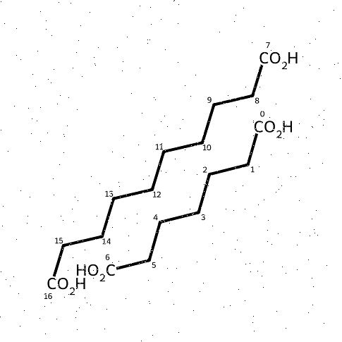 O=C(O)CCCCCC(=O)O.O=C(O)CCCCCCCCC(=O)O